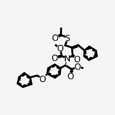 COC(=O)[C@H](c1ccc(OCc2ccccc2)cc1)N(C(=O)OC)C(=O)/C(=C\c1ccccc1)CSC(C)=O